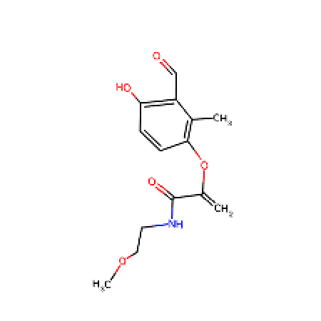 C=C(Oc1ccc(O)c(C=O)c1C)C(=O)NCCOC